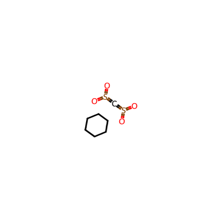 C1CCCCC1.O=S(=O)=C=S(=O)=O